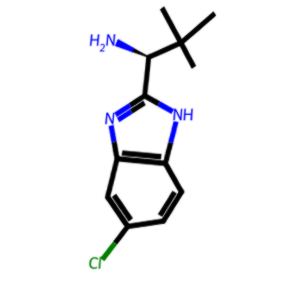 CC(C)(C)[C@H](N)c1nc2cc(Cl)ccc2[nH]1